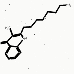 CCCCCCCCc1[nH]c2c(c(=O)c1C)=CC=C=C=2